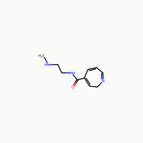 CNCCNC(=O)C1=CCN=CC=C1